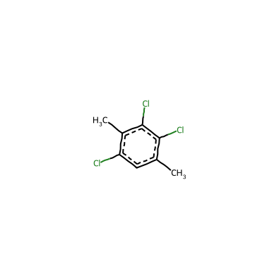 Cc1cc(Cl)c(C)c(Cl)c1Cl